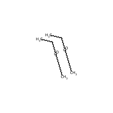 CCCCCCCC/C=C\CCCCCCCC(=O)OCCCCCCCCCCCCCCCCCC.CCCCCCCC/C=C\CCCCCCCC(=O)OCCCCCCCCCCCCCCCCCC